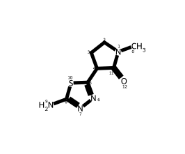 CN1CCC(c2nnc(N)s2)C1=O